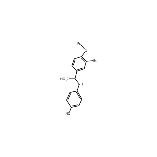 CCc1cc(C(Nc2ccc(C#N)cc2)C(=O)O)ccc1OC(C)C